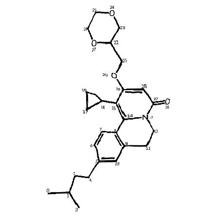 CC(C)CCc1ccc2c(c1)CCn1c-2c(C2CC2)c(OCC2COCCO2)cc1=O